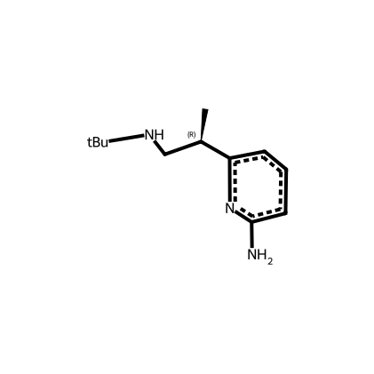 C[C@H](CNC(C)(C)C)c1cccc(N)n1